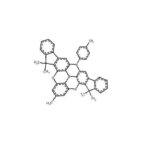 Cc1ccc(N2c3cc4c(c5c3B3c6c(cc(C)cc6Oc6c3c2cc2c6C(C)(C)c3ccccc3-2)O5)C(C)(C)c2ccccc2-4)cc1